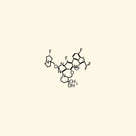 CC1(O)CCCN2c3nc(OCC45CCCN4C[C@H](F)C5)nc4c(F)c(-c5ccc(F)c6sc(C(F)F)c(C#N)c56)c(Cl)c(c34)OCC21